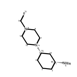 CN[C@@H]1CCC[C@H](N2CCN(CF)CC2)C1